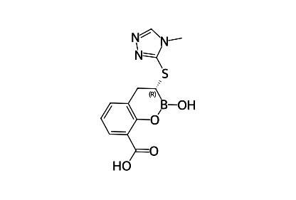 Cn1cnnc1S[C@H]1Cc2cccc(C(=O)O)c2OB1O